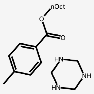 C1NCNCN1.CCCCCCCCOC(=O)c1ccc(C)cc1